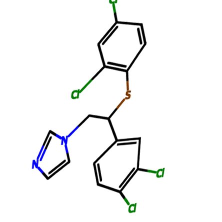 Clc1ccc(SC(Cn2ccnc2)c2ccc(Cl)c(Cl)c2)c(Cl)c1